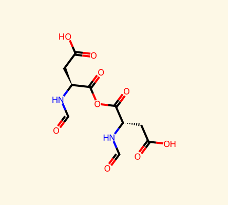 O=CN[C@@H](CC(=O)O)C(=O)OC(=O)[C@H](CC(=O)O)NC=O